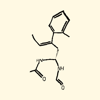 C/C=C(/C[C@H](NC=O)NC(C)=O)c1ccccc1C